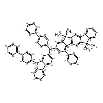 CC1(C)c2ccccc2-c2cc3c(cc21)-c1c(-c2ccccc2)cc(N(c2ccc(-c4ccccc4)cc2)c2ccc4c5ccccc5n(-c5ccc(-c6ccccc6)cc5)c4c2)cc1C3(C)C